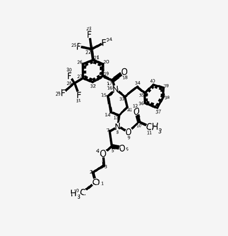 COCCOC(=O)CN(OC(C)=O)C1CCN(C(=O)c2cc(C(F)(F)F)cc(C(F)(F)F)c2)C(Cc2ccccc2)C1